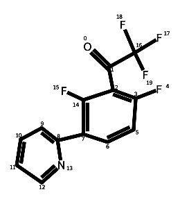 O=C(c1c(F)ccc(-c2ccccn2)c1F)C(F)(F)F